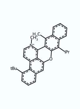 Cc1c2c(c(C(C)C)c3ccccc13)Oc1cc3cccc(C(C)(C)C)c3c3cc[n+](C)c-2c13